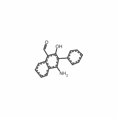 Nc1c(-c2ccccc2)c(O)c(C=O)c2ccccc12